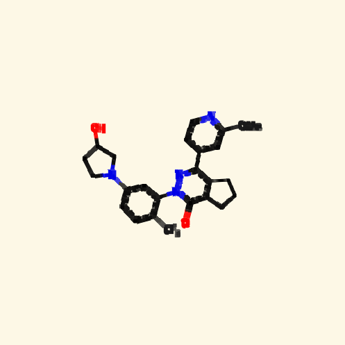 COc1cc(-c2nn(-c3cc(N4CCC(O)C4)ccc3C(F)(F)F)c(=O)c3c2CCC3)ccn1